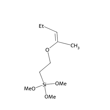 CCC=C(C)OCC[Si](OC)(OC)OC